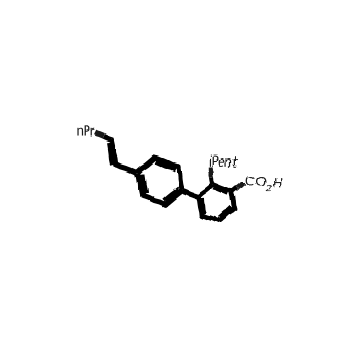 CCCC=Cc1ccc(-c2cccc(C(=O)O)c2C(C)CCC)cc1